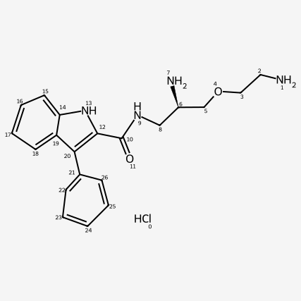 Cl.NCCOC[C@H](N)CNC(=O)c1[nH]c2ccccc2c1-c1ccccc1